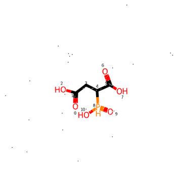 O=C(O)CC(C(=O)O)[PH](=O)O